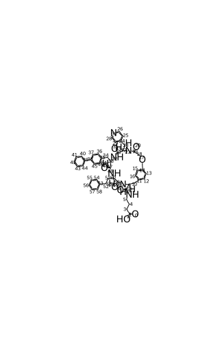 O=C(O)CCCNC(=O)[C@@H]1Cc2ccc(cc2)OCC(=O)N[C@@H](Cc2ccncc2)C(=O)N[C@H](Cc2ccc(-c3ccccc3)cc2)C(=O)N[C@@H](CCc2ccccc2)C(=O)N1